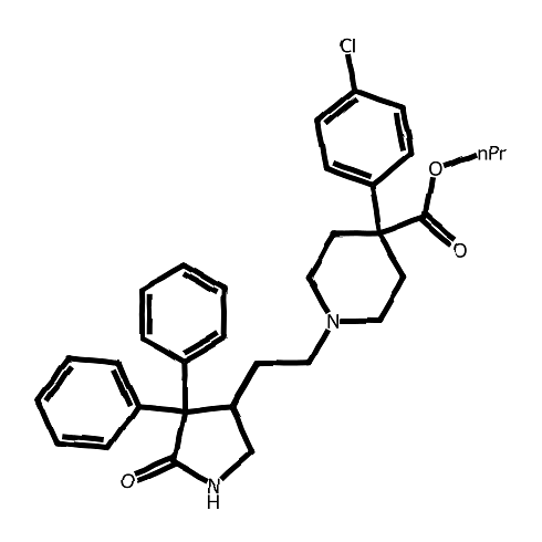 CCCOC(=O)C1(c2ccc(Cl)cc2)CCN(CCC2CNC(=O)C2(c2ccccc2)c2ccccc2)CC1